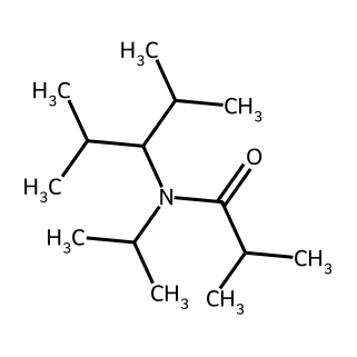 CC(C)C(=O)N(C(C)C)C(C(C)C)C(C)C